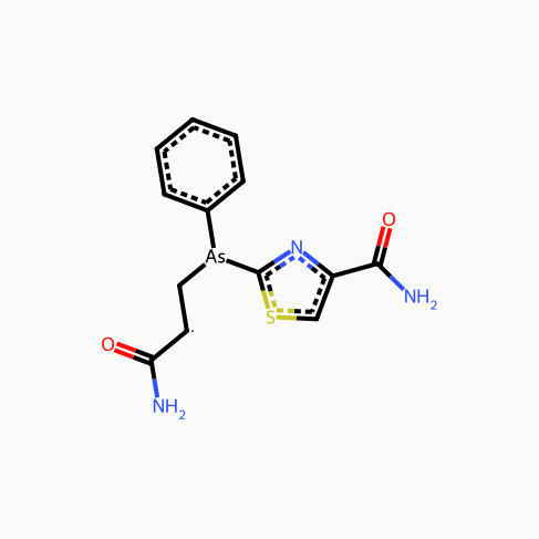 NC(=O)[CH]C[As](c1ccccc1)c1nc(C(N)=O)cs1